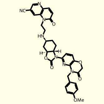 COc1ccc(CN2C(=O)COc3ccc(N4C(=O)O[C@H]5C[C@@H](NCCn6c(=O)ccc7ncc(C#N)cc76)CC[C@@H]54)nc32)cc1